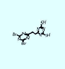 Sc1nc(S)nc(CCc2nc(Br)nc(Br)n2)n1